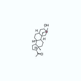 COC[C@]12CC[C@@H](O)C[C@@H]1CC[C@H]1[C@@H]3CC[C@H](C(C)=O)[C@@]3(C)CC[C@@H]12